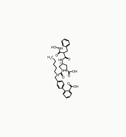 CCCCCN(Cc1ccc(-c2ccccc2C(=O)O)cc1)C(=O)N1C[C@@H](NC(=O)C(Cc2ccccc2)C(=O)NO)C[C@H]1C(=O)O